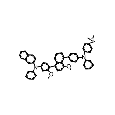 COc1cc(N(c2ccccc2)c2ccc3ccccc3c2)ccc1-c1ccc(OC)c2c(-c3ccc(N(c4ccccc4)c4ccc([Si](C)(C)C)cc4)cc3)cccc12